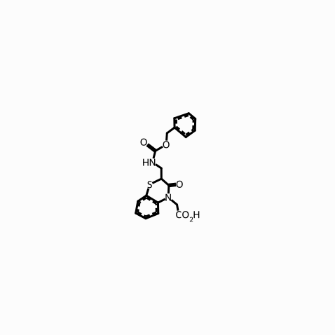 O=C(O)CN1C(=O)C(CNC(=O)OCc2ccccc2)Sc2ccccc21